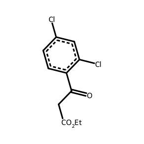 CCOC(=O)CC(=O)c1ccc(Cl)cc1Cl